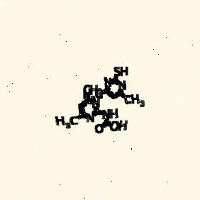 Cc1cc(C)nc(NC(=O)O)n1.Cc1cc(C)nc(S)n1